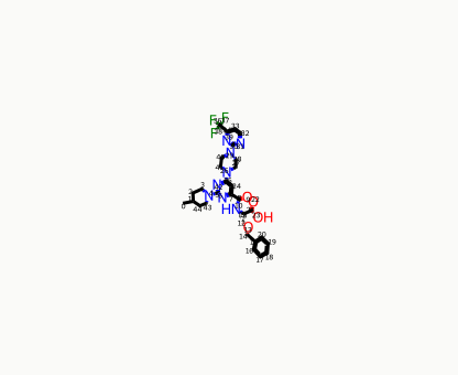 CC1CCN(c2nc(C(=O)N[C@@H](COCc3ccccc3)C(=O)O)cc(N3CCN(c4nccc(C(F)(F)F)n4)CC3)n2)CC1